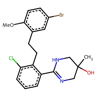 COc1ccc(Br)cc1CCc1c(Cl)cccc1C1=NCC(C)(O)CN1